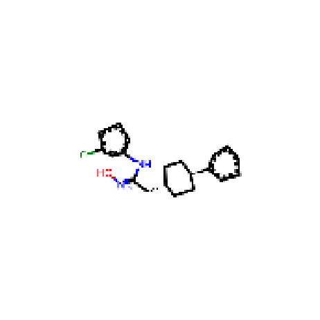 O/N=C(/C[C@H]1CC[C@H](c2ccccc2)CC1)Nc1cccc(Cl)c1